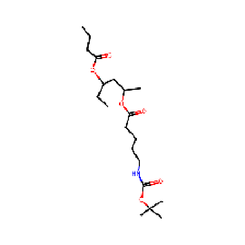 CCCC(=O)OC(CC)CC(C)OC(=O)CCCCNC(=O)OC(C)(C)C